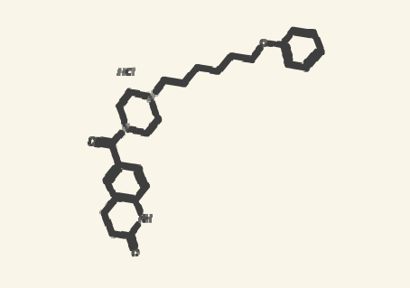 Cl.O=C1CCc2cc(C(=O)N3CCN(CCCCCCOc4ccccc4)CC3)ccc2N1